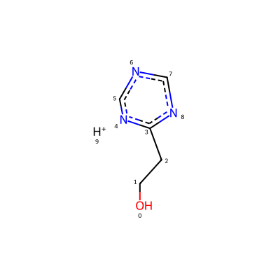 OCCc1ncncn1.[H+]